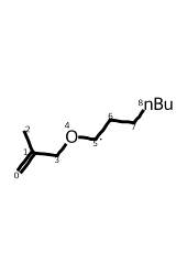 C=C(C)CO[CH]CCCCCC